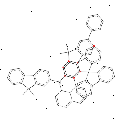 CC1(C)c2ccccc2-c2ccc(N(c3ccc4c(c3)C(C)(C)c3cc(-c5ccccc5)ccc3-4)C3C=CC=C4C=CC=C(c5cccc6c5C5(c7ccccc7-c7ccccc75)c5ccccc5-6)C43)cc21